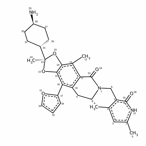 Cc1cc(C)c(CN2CCc3c(c(C)c4c(c3-c3ccco3)O[C@@](C)([C@H]3CC[C@H](N)CC3)O4)C2=O)c(=O)[nH]1